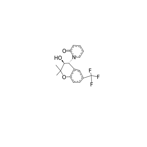 CC1(C)Oc2ccc(C(F)(F)F)cc2[C@@H](n2ccccc2=O)[C@@H]1O